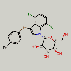 CCc1ccc(Sc2cn([C@@H]3O[C@H](CO)[C@@H](O)[C@H](O)[C@H]3O)c3c(Cl)ccc(F)c23)cc1